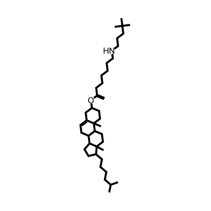 C=C(CCCCCCNCCCC(C)(C)C)OC1CCC2(C)C(=CCC3C2CCC2(C)C(CCCCC(C)C)CCC32)C1